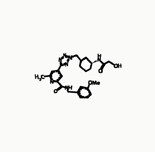 COc1cccc(CNC(=O)c2cc(-c3nnn(C[C@@H]4CCC[C@@H](NC(=O)CO)C4)n3)cc(C)n2)c1